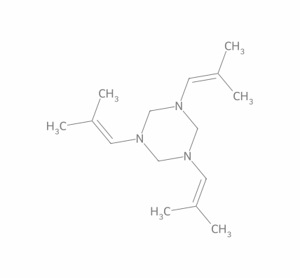 CC(C)=CN1CN(C=C(C)C)CN(C=C(C)C)C1